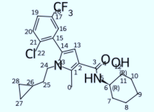 Cc1c(C(=O)N[C@@H]2CCCC[C@H]2O)cc(-c2cc(C(F)(F)F)ccc2Cl)n1CCC1CC1